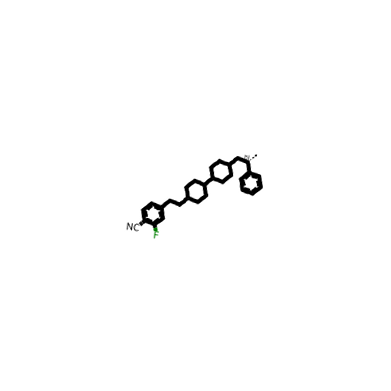 C[C@@H](CC1CCC(C2CCC(CCc3ccc(C#N)c(F)c3)CC2)CC1)c1ccccc1